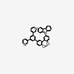 c1cncc(-c2cc(-c3cccnc3)cc(-c3ccc4c(c3)-c3cc(-n5c6ccccc6c6ccccc65)ccc3OCO4)c2)c1